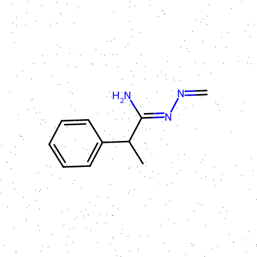 C=N/N=C(\N)C(C)c1ccccc1